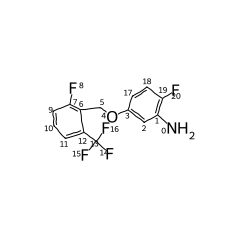 Nc1cc(OCc2c(F)cccc2C(F)(F)F)ccc1F